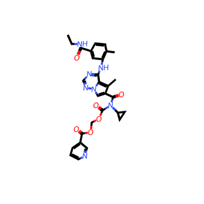 CCNC(=O)c1ccc(C)c(Nc2ncnn3cc(C(=O)N(C(=O)OCOC(=O)c4cccnc4)C4CC4)c(C)c23)c1